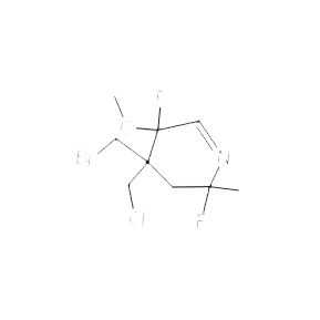 COC1(F)C=NC(C)(F)CC1(CCl)CBr